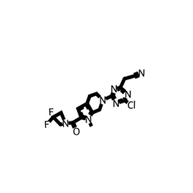 Cn1c(C(=O)N2CC(F)(F)C2)cc2c1CN(c1nc(Cl)nc(CC#N)n1)CC2